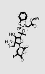 CC(C)OC(=O)[C@H](C)NP(=O)(Oc1ccccc1)OC(C)(C)[C@H]1O[C@@H](n2cc(F)c(=O)[nH]c2=O)[C@@](N)(CF)C1O